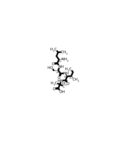 CC[C@H](C)[C@H](NC(=O)[C@H](CO)NC(=O)[C@@H](N)CC(C)C)C(=O)NC(C)(C)C(=O)O